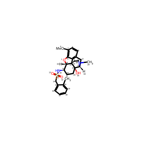 COc1ccc2c3c1O[C@H]1[C@H](NS(=O)(=O)Cc4ccccc4C)CC[C@@]4(O)[C@@H](C2)N(C)CC[C@]314